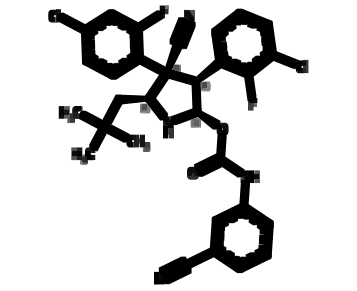 CC(C)(C)C[C@@H]1N[C@H](OC(=O)Nc2cccc(C#N)c2)[C@H](c2cccc(Cl)c2F)[C@@]1(C#N)c1ccc(Cl)cc1F